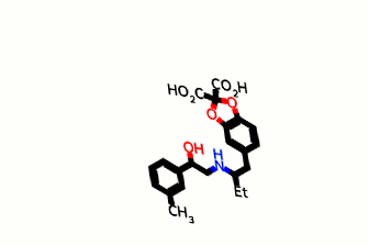 CCC(Cc1ccc2c(c1)OC(C(=O)O)(C(=O)O)O2)NCC(O)c1cccc(C)c1